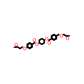 O=C(OC1CCC(OC(=O)c2ccc(OCCC3CO3)cc2)CC1)c1ccc(COCC2CO2)cc1